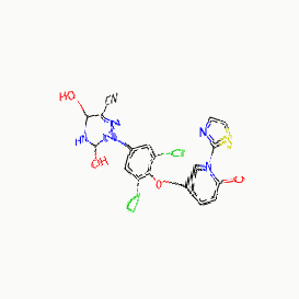 N#CC1=NN(c2cc(Cl)c(Oc3ccc(=O)n(-c4nccs4)c3)c(Cl)c2)C(O)NC1O